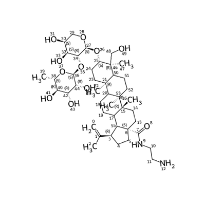 C=C(C)[C@@H]1CC[C@]2(C(=O)NCCN)CC[C@]3(C)C(CCC4[C@@]5(C)CC[C@H](O[C@@H]6OC[C@H](O)[C@H](O)[C@H]6O[C@@H]6O[C@@H](C)[C@H](O)[C@@H](O)[C@H]6O)[C@@](C)(CO)C5CC[C@]43C)C12